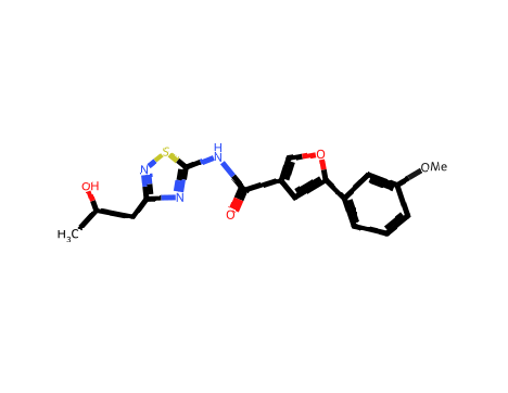 COc1cccc(-c2cc(C(=O)Nc3nc(CC(C)O)ns3)co2)c1